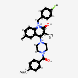 COc1ccc(C(=O)N2CCN(c3c(C#N)c(=O)n(Cc4ccc(F)cc4)c4ccc(C)cc34)CC2)cc1